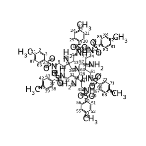 Cc1ccc(S(=O)(=O)NCCC(N)(CCNS(=O)(=O)c2ccc(C)cc2)CN(CC(N)(CCNS(=O)(=O)c2ccc(C)cc2)CCNS(=O)(=O)c2ccc(C)cc2)CC(N)(CCNS(=O)(=O)c2ccc(C)cc2)CCNS(=O)(=O)c2ccc(C)cc2)cc1